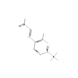 CC(C)(C)c1ccc(/C=C/C(=O)O)c(Cl)n1